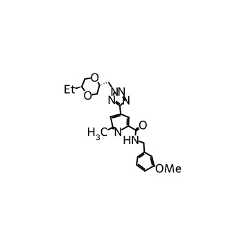 CC[C@H]1CO[C@H](Cn2nnc(-c3cc(C)nc(C(=O)NCc4cccc(OC)c4)c3)n2)CO1